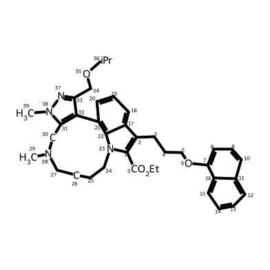 CCOC(=O)c1c(CCCOc2cccc3ccccc23)c2cccc3c2n1CCCCN(C)Cc1c-3c(COC(C)C)nn1C